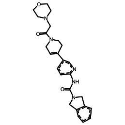 O=C(CN1CCOCC1)N1CC=C(c2ccc(NC(=O)N3Cc4ccccc4C3)nc2)CC1